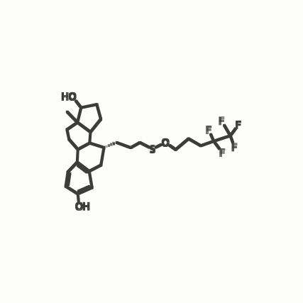 CC12CCC3c4ccc(O)cc4C[C@@H](CCCSOCCCC(F)(F)C(F)(F)F)C3C1CCC2O